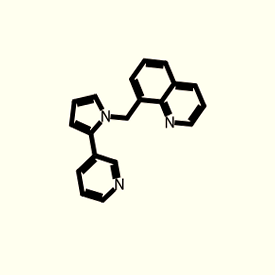 c1cncc(-c2cccn2Cc2cccc3cccnc23)c1